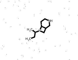 CCC(C)N1CC2CNCCC21